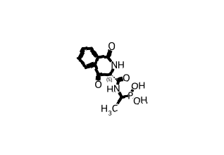 CC(NC(=O)[C@H]1NC(=O)c2ccccc2C1=O)P(O)O